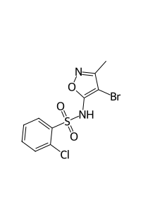 Cc1noc(NS(=O)(=O)c2ccccc2Cl)c1Br